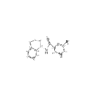 O=C(N[C@H]1CCCc2ccccc21)c1cncc(Br)c1